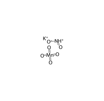 O=[NH+][O-].[K+].[O]=[Mn](=[O])(=[O])[O-]